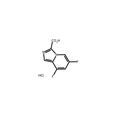 Cl.O=C(O)c1ncc2c(F)cc(F)cn12